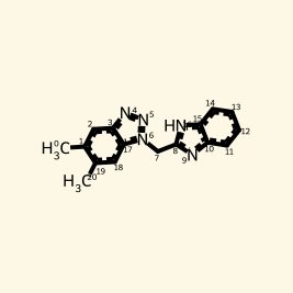 Cc1cc2nnn(Cc3nc4ccccc4[nH]3)c2cc1C